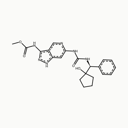 COC(=O)Nc1n[nH]c2cc(NC(=O)N[C@@H](c3ccccc3)C3(O)CCCC3)ncc12